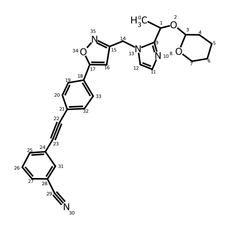 CC(OC1CCCCO1)c1nccn1Cc1cc(-c2ccc(C#Cc3cccc(C#N)c3)cc2)on1